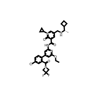 CCOc1cc(-c2ccc(Cl)cc2C(=O)N2CC(F)(F)C2)cc(NC(=O)c2cc(CN[C@@H](C)C3CCC3)cn(C3CC3)c2=O)n1